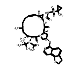 CC1CCC=C[C@@H]2C[C@@]2(C(=O)NS(=O)(=O)C2(C)CC2)NC(=O)[C@@H]2C[C@@H](Oc3nccc4c5c(ccc34)CCO5)CN2C(=O)[C@@H](N(C(=O)O)C(C)(C)C)[C@H](C)C1